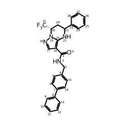 O=C(NCc1ccc(-c2ccccc2)cc1)c1cnn2c1NC(c1ccccc1)C[C@H]2C(F)(F)F